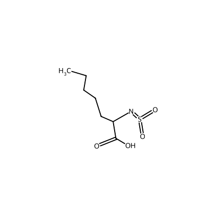 CCCCCC(N=S(=O)=O)C(=O)O